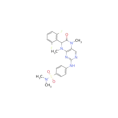 CN1C(=O)C(c2c(F)cccc2F)N(C)c2nc(Nc3ccc(S(=O)(=O)N(C)C)cc3)ncc21